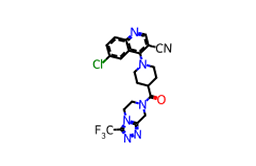 N#Cc1cnc2ccc(Cl)cc2c1N1CCC(C(=O)N2CCn3c(nnc3C(F)(F)F)C2)CC1